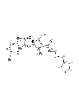 CC(C)c1[nH]c(C=C2C(=O)Nc3ccc(Br)cc32)c(C(C)C)c1C(=O)NCCCN1CCCC1